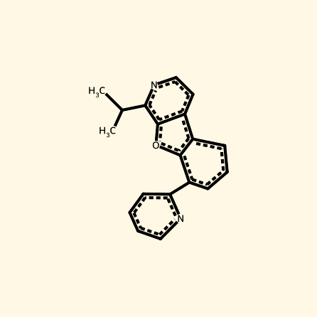 CC(C)c1nccc2c1oc1c(-c3ccccn3)cccc12